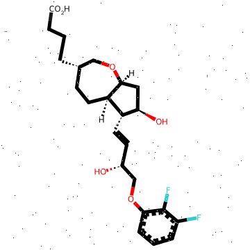 O=C(O)CCC[C@H]1CC[C@@H]2[C@@H](/C=C/[C@@H](O)COc3cccc(F)c3F)[C@H](O)C[C@@H]2OC1